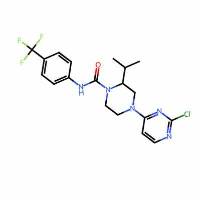 CC(C)C1CN(c2ccnc(Cl)n2)CCN1C(=O)Nc1ccc(C(F)(F)F)cc1